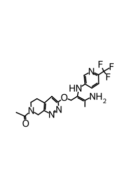 CC(=O)N1CCc2cc(OC/C(Nc3ccc(C(F)(F)F)nc3)=C(\C)N)nnc2C1